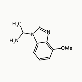 COc1cccc2c1n[c]n2C(C)N